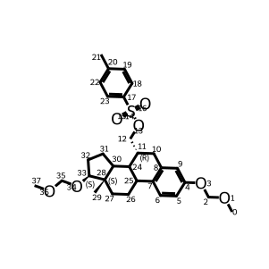 COCOc1ccc2c(c1)C[C@@H](COS(=O)(=O)c1ccc(C)cc1)C1C2CC[C@@]2(C)C1CC[C@@H]2OCOC